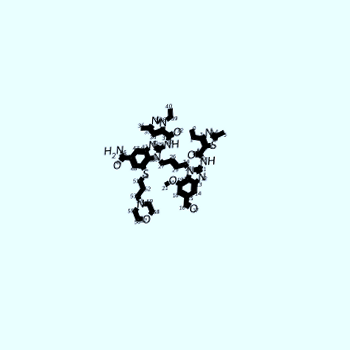 CCc1nc(C)sc1C(=O)Nc1nc2cc(C=O)cc(OC)c2n1C/C=C/Cn1c(NC(=O)c2cc(C)nn2CC)nc2cc(C(N)=O)cc(SCCCN3CCOCC3)c21